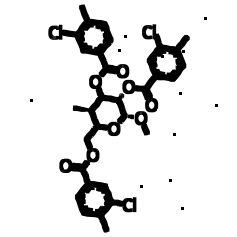 CO[C@@H]1OC(COC(=O)c2ccc(C)c(Cl)c2)[C@@H](C)C(OC(=O)c2ccc(C)c(Cl)c2)[C@@H]1OC(=O)c1ccc(C)c(Cl)c1